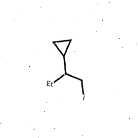 CCC(CI)C1CC1